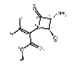 COC(=O)C(=C(C)C)N1C(=O)[C@H](N)[C@H]1Cl